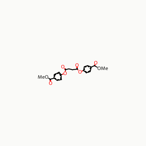 COC(=O)c1ccc(OC(=O)CCC(=O)Oc2ccc(C(=O)OC)cc2)cc1